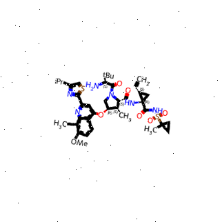 C=C[C@@H]1C[C@]1(NC(=O)[C@@H]1[C@H](C)[C@@H](Oc2cc(-c3nc(C(C)C)cs3)nc3c(C)c(OC)ccc23)CN1C(=O)[C@@H](N)C(C)(C)C)C(=O)NS(=O)(=O)C1(C)CC1